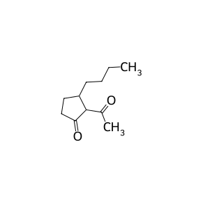 CCCCC1CCC(=O)C1C(C)=O